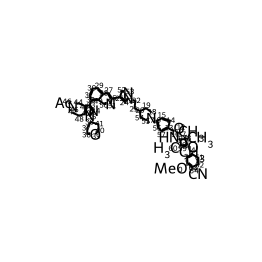 COc1cc(OC2C(C)(C)C(NC(=O)c3ccc(N4CCC(CCn5cc(-c6cc7cccc(-c8nn(C9CCOCC9)c9c8CN(C(C)=O)CC9)c7cn6)cn5)CC4)cc3)C2(C)C)ccc1C#N